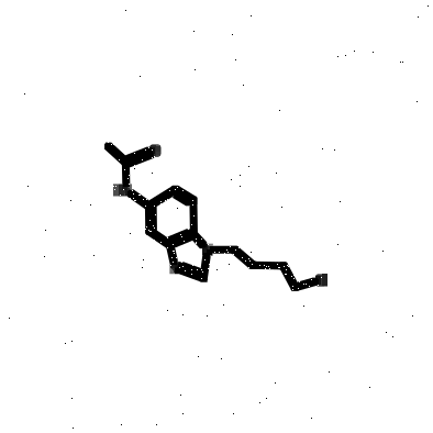 CC(=O)Nc1ccc2c(c1)ncn2CCCCCl